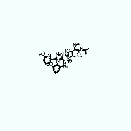 C=N/C(=C(\N=C(C)C)OC)[C@H](O)[C@@H](C)S(=O)(=O)Nc1nnc(-c2cccc(OC)n2)n1-c1c(OC)cccc1OC